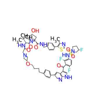 Cc1ncsc1-c1ccc(CNC(=O)[C@@H]2C[C@@H](O)CN2C(=O)[C@@H](NC(=O)CN2CC(OCCCCc3ccc(-c4cnc5[nH]cc(C(=O)c6c(F)ccc(NS(=O)(=O)N7CC[C@@H](F)C7)c6F)c5c4)cc3)C2)C(C)(C)C)cc1